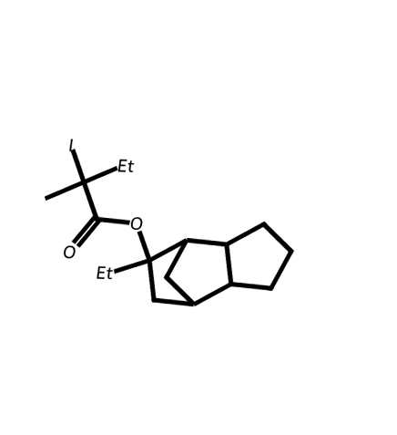 CCC(C)(I)C(=O)OC1(CC)CC2CC1C1CCCC21